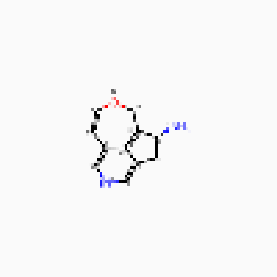 N[C@H]1CC2=CNC=C3C=COCC1=C32